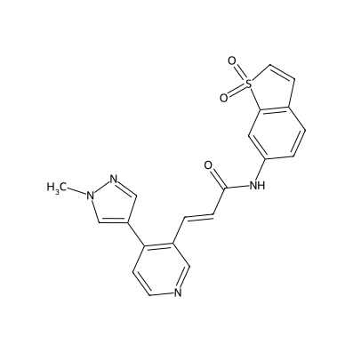 Cn1cc(-c2ccncc2C=CC(=O)Nc2ccc3c(c2)S(=O)(=O)C=C3)cn1